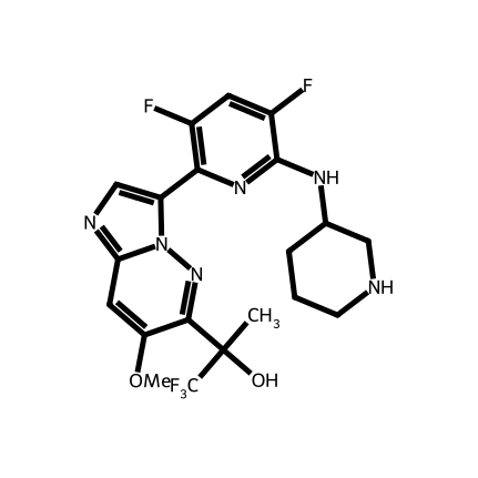 COc1cc2ncc(-c3nc(NC4CCCNC4)c(F)cc3F)n2nc1C(C)(O)C(F)(F)F